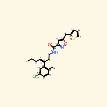 CCC/C=C(/CCNC(=O)c1cc(Cc2cccs2)on1)c1cc(Cl)ccc1C